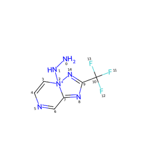 NN[N+]12C=CN=CC1=NC(C(F)(F)F)=N2